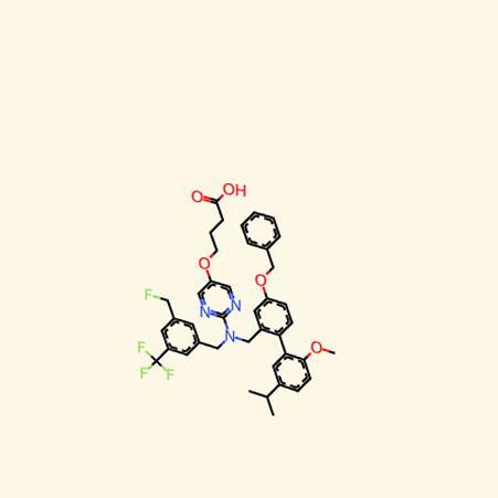 COc1ccc(C(C)C)cc1-c1ccc(OCc2ccccc2)cc1CN(Cc1cc(CF)cc(C(F)(F)F)c1)c1ncc(OCCCC(=O)O)cn1